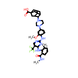 CNC(=O)c1cccc(C)c1Nc1nc(Nc2ccc(N3CCN(C4C5CC6CC4CC(C(=O)O)(C6)C5)CC3)cc2OC)ncc1C(F)(F)F